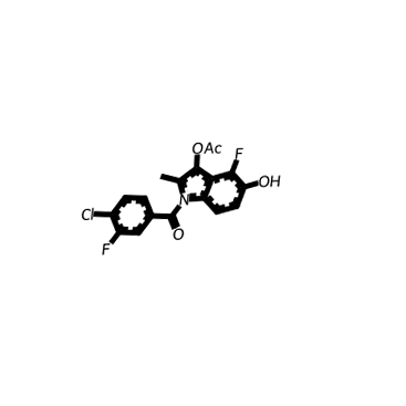 CC(=O)Oc1c(C)n(C(=O)c2ccc(Cl)c(F)c2)c2ccc(O)c(F)c12